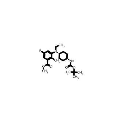 CCN(c1cc(F)cc(C(=O)OC)c1C)[C@H]1CC[C@H](NC(=O)OC(C)(C)C)CC1